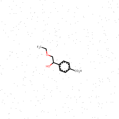 O=C(O)c1ccc(C(O)COCC(F)(F)F)cc1